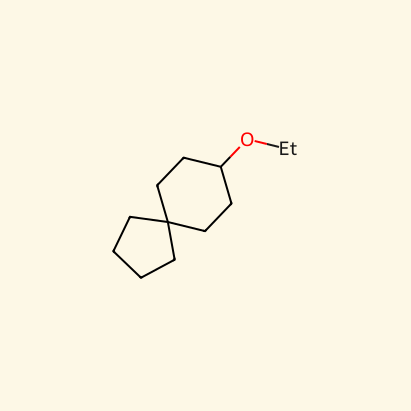 CCOC1CCC2(CCCC2)CC1